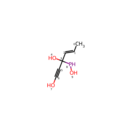 CC=CC(O)(C#CO)PO